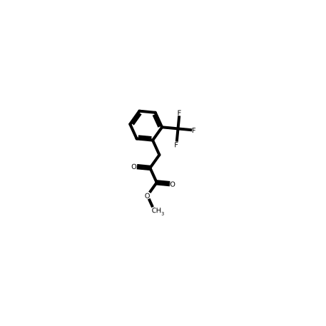 COC(=O)C(=O)Cc1ccccc1C(F)(F)F